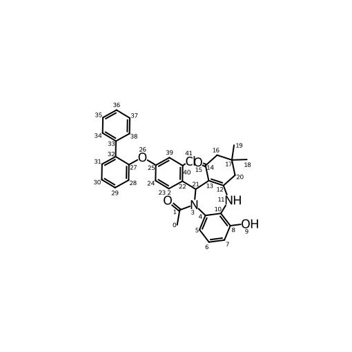 CC(=O)N1c2cccc(O)c2NC2=C(C(=O)CC(C)(C)C2)C1c1ccc(Oc2ccccc2-c2ccccc2)cc1Cl